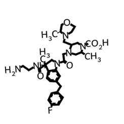 CC1CN(CC(=O)N2CC(C)(C(=O)NCCN)c3ccc(Cc4ccc(F)cc4)cc32)C(CN2CCOC[C@H]2C)CN1C(=O)O